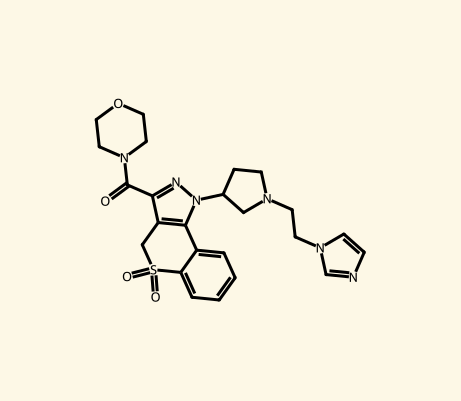 O=C(c1nn(C2CCN(CCn3ccnc3)C2)c2c1CS(=O)(=O)c1ccccc1-2)N1CCOCC1